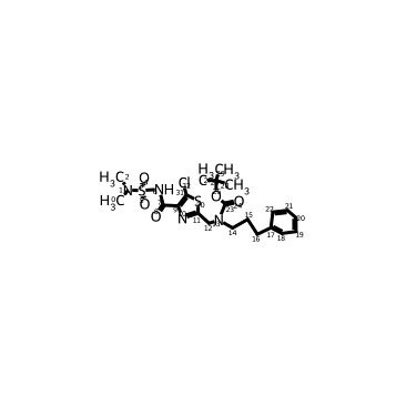 CN(C)S(=O)(=O)NC(=O)c1nc(CN(CCCc2ccccc2)C(=O)OC(C)(C)C)sc1Cl